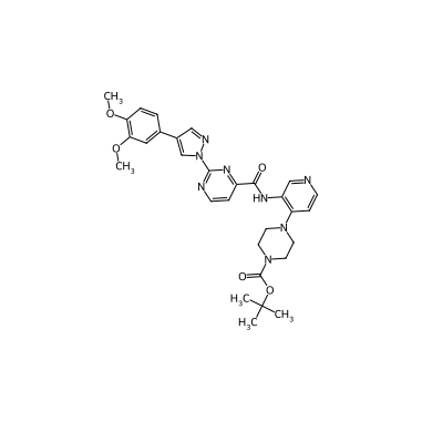 COc1ccc(-c2cnn(-c3nccc(C(=O)Nc4cnccc4N4CCN(C(=O)OC(C)(C)C)CC4)n3)c2)cc1OC